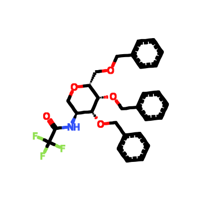 O=C(N[C@H]1CO[C@H](COCc2ccccc2)[C@H](OCc2ccccc2)[C@@H]1OCc1ccccc1)C(F)(F)F